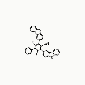 N#Cc1c(-c2ccc3sc4ccccc4c3c2)c(F)c(-c2ccccc2)c(F)c1-c1ccc2sc3ccccc3c2c1